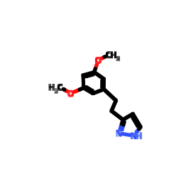 COc1cc(CCc2cc[nH]n2)cc(OC)c1